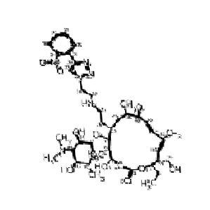 CC[C@H]1OC(=O)C[C@@H](O)[C@H](C)[C@@H](O[C@@H]2O[C@H](C)[C@@H](O)C(N(C)C)C2O)[C@@H](CCNCCn2cc(-c3ccccc3[N+](=O)[O-])nn2)C[C@@H](C)C(=O)/C=C/C(C)=C/[C@@H]1CO